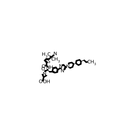 CCC[C@H]1CC[C@H](C2CCN(c3cnc(-c4ccc(C[C@H](NC(=O)c5ccc(C(C)(C)C#N)s5)C(=O)N5CC(C(=O)O)C5)cc4)nc3)CC2)CC1